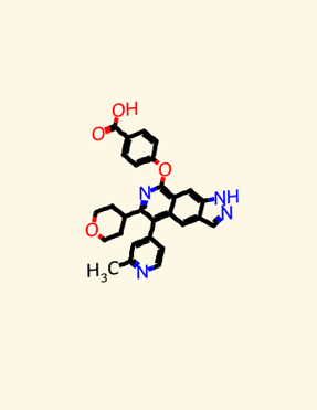 Cc1cc(-c2c(C3CCOCC3)nc(Oc3ccc(C(=O)O)cc3)c3cc4[nH]ncc4cc23)ccn1